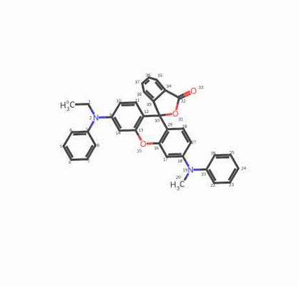 CCN(c1ccccc1)c1ccc2c(c1)Oc1cc(N(C)c3ccccc3)ccc1C21OC(=O)c2ccccc21